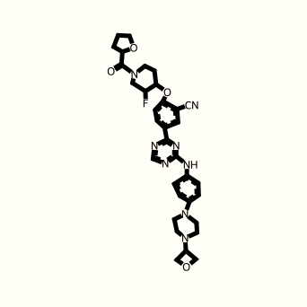 N#Cc1cc(-c2ncnc(Nc3ccc(N4CCN(C5COC5)CC4)cc3)n2)ccc1OC1CCN(C(=O)C2CCCO2)CC1F